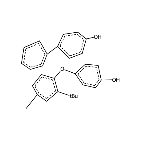 Cc1ccc(Oc2ccc(O)cc2)c(C(C)(C)C)c1.Oc1ccc(-c2ccccc2)cc1